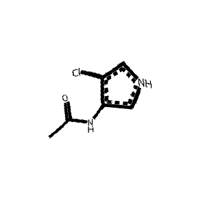 CC(=O)Nc1c[nH]cc1Cl